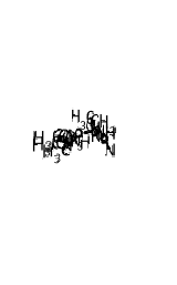 CC(C)Oc1nc(Nc2ccc(C#N)cc2)ncc1C#C[C@@H]1CCC[C@H](NC(=O)CN(C)C(=O)OC(C)(C)C)C1